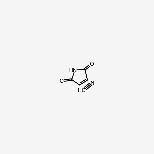 C#N.O=C1C=CC(=O)N1